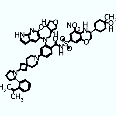 C=C(C)c1ccccc1[C@@H]1CCCN1C1CC2(CCN(c3ccc(C(=O)NS(=O)(=O)c4cc5c(c([N+](=O)[O-])c4)N[C@@H](C4CCC(C)(O)CC4)CO5)c(N4C[C@@H]5COC[C@@H]5Oc5nc6[nH]ccc6cc54)c3)CC2)C1